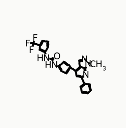 Cn1ncc2c(-c3ccc(NC(=O)Nc4cccc(C(F)(F)F)c4)cc3)cc(-c3ccccc3)nc21